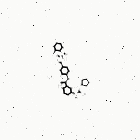 COc1cc(C(=O)NS(=O)(=O)c2ccccc2C)ccc1Cc1c[nH]c2ccc(N(C)C(=O)OC3CCCC3)cc12